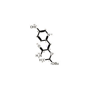 CC(C)COC(C)O/C(=C/c1ccc(C=O)cn1)C(N)=O